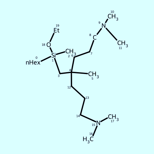 CCCCCC[Si](C)(CC(C)(CCCN(C)C)CCCN(C)C)OCC